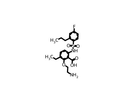 CCCc1cc(F)ccc1S(=O)(=O)Nc1ccc(CC)c(OCCN)c1C(=O)O